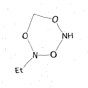 CCN1OCONO1